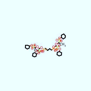 CC(OC(O[PH](=O)CCCC[PH](=O)OC(OC(C)S(=O)(=O)OC1CCCCC1)S(=O)(=O)OC1CCCCC1)S(=O)(=O)OC1CCCCC1)S(=O)(=O)OC1CCCCC1